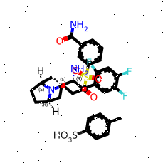 Cc1ccc(S(=O)(=O)O)cc1.NC(=O)c1cccc(S(=O)(=O)C(=O)CCN2[C@@H]3CC[C@H]2C[C@H]([C@H](N)Cc2cc(F)c(F)cc2F)C3)c1